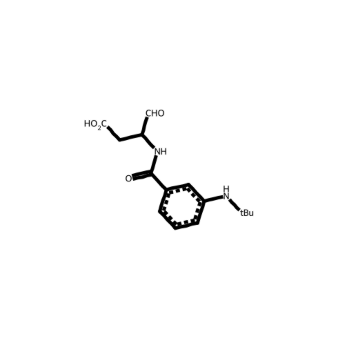 CC(C)(C)Nc1cccc(C(=O)NC(C=O)CC(=O)O)c1